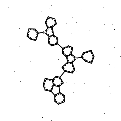 c1ccc(-n2c3ccccc3c3cc(-c4ccc5c(c4)c4cc(-c6cc7c8c(nccc8c6)-c6ccccc6-7)ccc4n5-c4ccccc4)ccc32)cc1